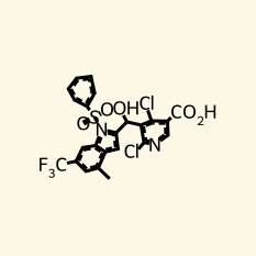 Cc1cc(C(F)(F)F)cc2c1cc(C(O)c1c(Cl)ncc(C(=O)O)c1Cl)n2S(=O)(=O)c1ccccc1